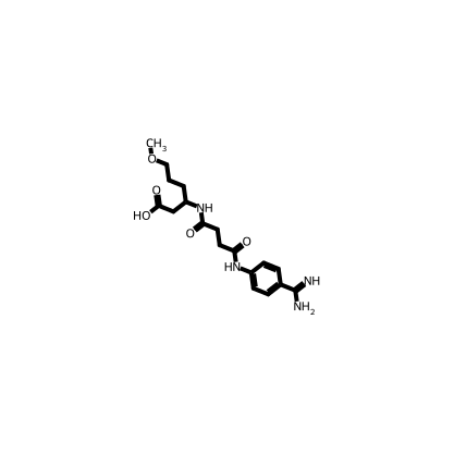 COCCCC(CC(=O)O)NC(=O)CCC(=O)Nc1ccc(C(=N)N)cc1